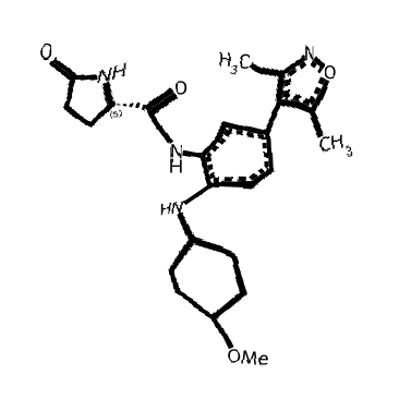 COC1CCC(Nc2ccc(-c3c(C)noc3C)cc2NC(=O)[C@@H]2CCC(=O)N2)CC1